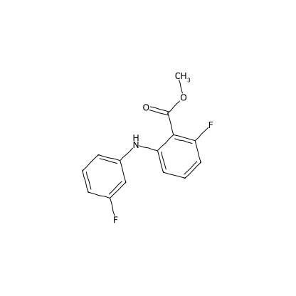 COC(=O)c1c(F)cccc1Nc1cccc(F)c1